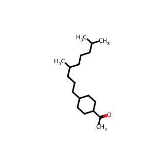 CC(=O)C1CCC(CCCC(C)CCCC(C)C)CC1